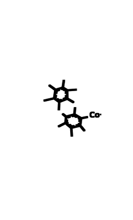 Cc1c(C)c(C)c(C)c(C)c1C.Cc1c(C)c(C)c(C)c(C)c1C.[Co]